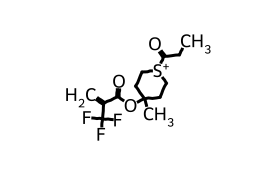 C=C(C(=O)OC1(C)CC[S+](C(=O)CC)CC1)C(F)(F)F